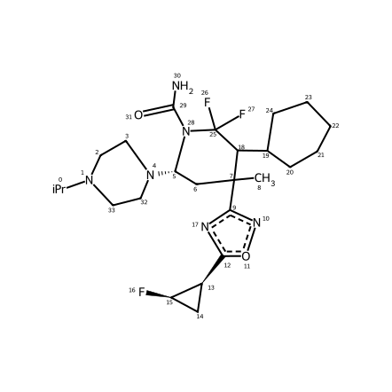 CC(C)N1CCN([C@H]2CC(C)(c3noc([C@H]4C[C@H]4F)n3)C(C3CCCCC3)C(F)(F)N2C(N)=O)CC1